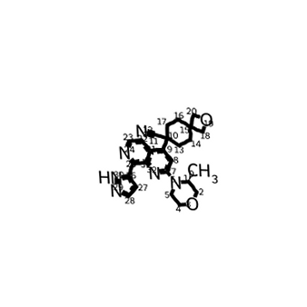 C[C@@H]1COCCN1c1cc(C2(C#N)CCC3(CC2)COC3)c2ccnc(-c3ccn[nH]3)c2n1